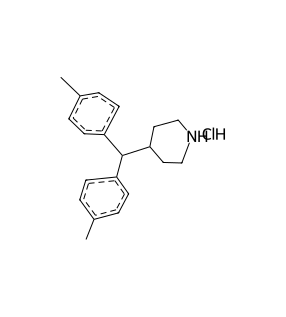 Cc1ccc(C(c2ccc(C)cc2)C2CCNCC2)cc1.Cl